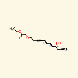 C#CC[C@@H](O)/C=C/C=C/C#CCCOCC(=O)OCC